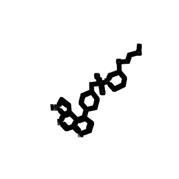 COCCOC1CCCN(S(=O)(=O)CC2CCC(c3ccnc4cnc5[nH]ccc5c34)CC2)C1